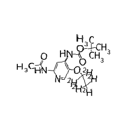 [2H]C([2H])([2H])C([2H])([2H])Oc1cnc(NC(C)=O)cc1NC(=O)OC(C)(C)C